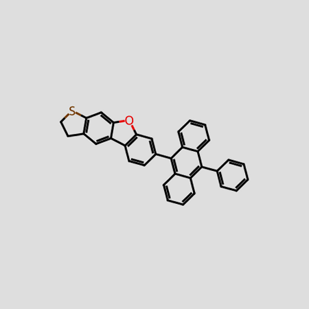 c1ccc(-c2c3ccccc3c(-c3ccc4c(c3)oc3cc5c(cc34)CCS5)c3ccccc23)cc1